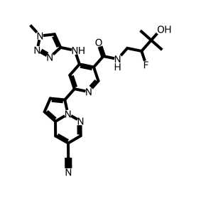 Cn1cc(Nc2cc(-c3ccc4cc(C#N)cnn34)ncc2C(=O)NCC(F)C(C)(C)O)nn1